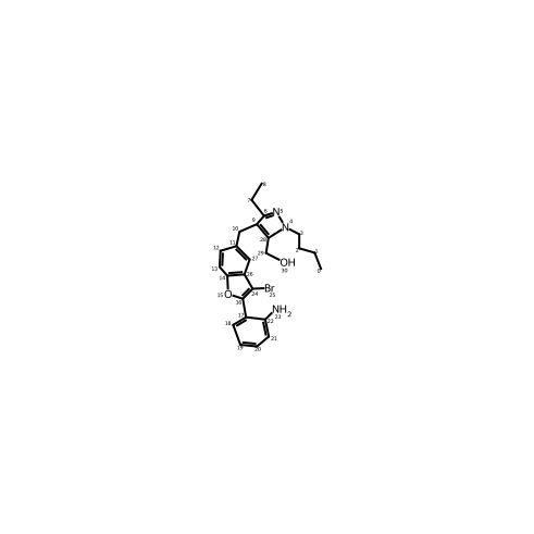 CCCCn1nc(CC)c(Cc2ccc3oc(-c4ccccc4N)c(Br)c3c2)c1CO